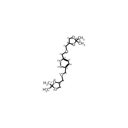 CC1(C)OCC(COCC2=CC=C(COCC3COC(C)(C)O3)SS2)O1